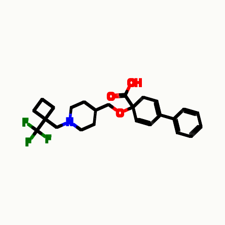 O=C(O)C1(OCC2CCN(CC3(C(F)(F)F)CCC3)CC2)C=CC(c2ccccc2)=CC1